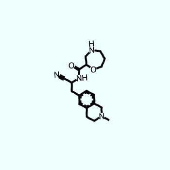 CN1CCc2cc(CC(C#N)NC(=O)C3CNCCCO3)ccc2C1